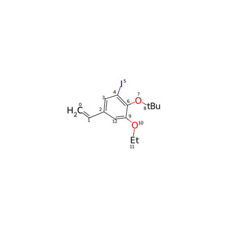 C=Cc1cc(I)c(OC(C)(C)C)c(OCC)c1